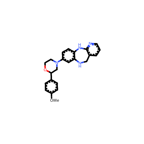 COc1ccc(C2CN(c3ccc4c(c3)NCc3cccnc3N4)CCO2)cc1